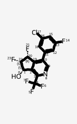 O[C@H]1c2c(C(F)(F)F)ncc(-c3cc(F)cc(Cl)c3)c2[C@@H](F)[C@H]1F